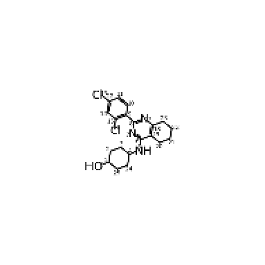 OC1CCC(Nc2nc(-c3ccc(Cl)cc3Cl)nc3c2CCCC3)CC1